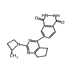 C[C@H]1CCN1c1nc2c(c(-c3ccc4c(=O)[nH][nH]c(=O)c4c3)n1)CCC2